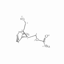 CC(C)(C)C(=O)OCC1C2C=CC(C2)C1CO